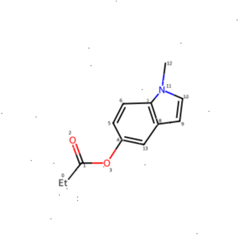 CCC(=O)Oc1ccc2c(ccn2C)c1